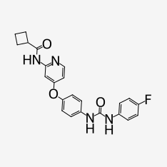 O=C(Nc1ccc(F)cc1)Nc1ccc(Oc2ccnc(NC(=O)C3CCC3)c2)cc1